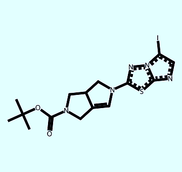 CC(C)(C)OC(=O)N1CC2=CN(c3nn4c(I)cnc4s3)CC2C1